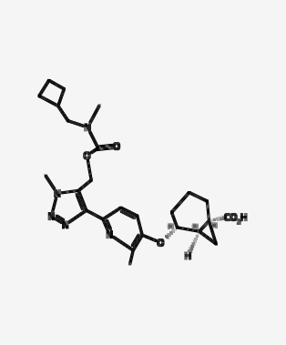 Cc1nc(-c2nnn(C)c2COC(=O)N(C)CC2CCC2)ccc1O[C@@H]1CCC[C@@]2(C(=O)O)C[C@@H]12